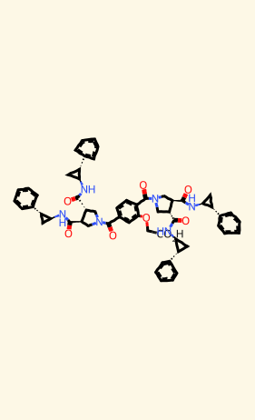 O=C(O)COc1cc(C(=O)N2C[C@@H](C(=O)N[C@H]3C[C@@H]3c3ccccc3)[C@H](C(=O)N[C@H]3C[C@@H]3c3ccccc3)C2)ccc1C(=O)N1C[C@@H](C(=O)N[C@H]2C[C@@H]2c2ccccc2)[C@H](C(=O)N[C@H]2C[C@@H]2c2ccccc2)C1